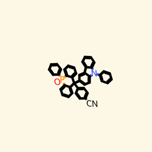 N#Cc1ccc(C2(c3ccc4c(c3)c3ccccc3n4-c3ccccc3)c3ccccc3P(=O)(c3ccccc3)c3ccccc32)cc1